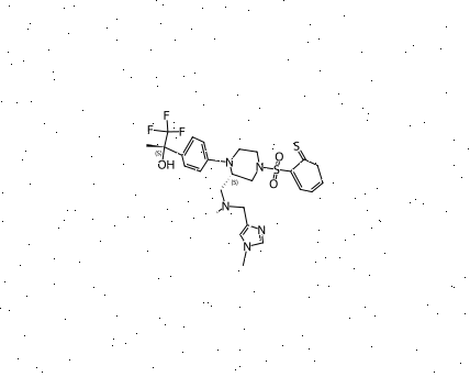 CN(Cc1cn(C)cn1)C[C@H]1CN(S(=O)(=O)C2=CC=CCC2=S)CCN1c1ccc([C@](C)(O)C(F)(F)F)cc1